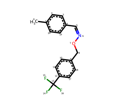 Cc1ccc(/[C]=N\OCc2ccc(C(F)(F)F)cc2)cc1